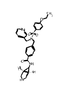 CCOc1ccc(S(=O)(=O)N(Cc2ccc(C(=O)NC3[C@H]4CNC[C@@H]34)cc2)Cc2cccnc2)cc1